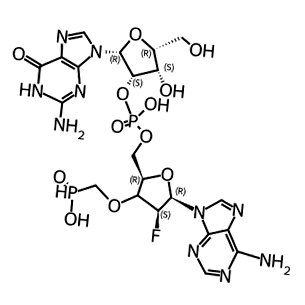 Nc1nc2c(ncn2[C@@H]2O[C@H](CO)[C@H](O)[C@@H]2OP(=O)(O)OC[C@H]2O[C@@H](n3cnc4c(N)ncnc43)[C@@H](F)C2OC[PH](=O)O)c(=O)[nH]1